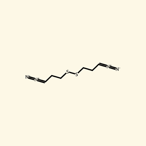 [N-]=[N+]=CCCSSCCC=[N+]=[N-]